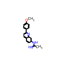 COc1ccc(-c2ccc3ccc(NC(C)=N)cc3n2)cc1